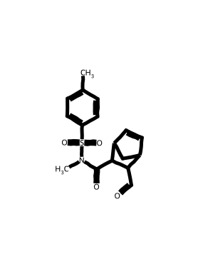 Cc1ccc(S(=O)(=O)N(C)C(=O)C2C3C=CC(C3)C2C=O)cc1